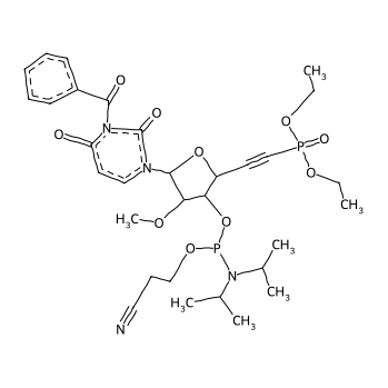 CCOP(=O)(C#CC1OC(n2ccc(=O)n(C(=O)c3ccccc3)c2=O)C(OC)C1OP(OCCC#N)N(C(C)C)C(C)C)OCC